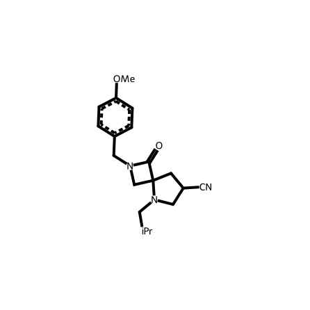 COc1ccc(CN2CC3(CC(C#N)CN3CC(C)C)C2=O)cc1